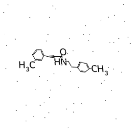 Cc1ccc(CCNC(=O)C#Cc2cccc(C)c2)cc1